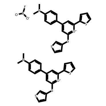 CN(C)c1ccc(-c2cc(Sc3ccsc3)[o+]c(-c3cccs3)c2)cc1.CN(C)c1ccc(-c2cc(Sc3ccsc3)[o+]c(-c3cccs3)c2)cc1.[O-]B([O-])F